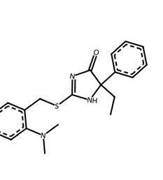 CCC1(c2ccccc2)NC(SCc2ccccc2N(C)C)=NC1=O